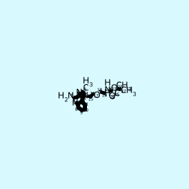 Cc1nc2c(N)nc3ccccc3c2n1CCOCCNC(=O)OC(C)(C)C